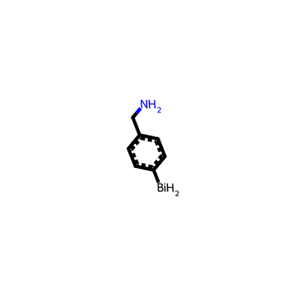 NCc1cc[c]([BiH2])cc1